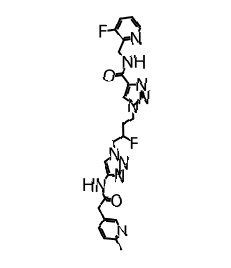 Cc1ccc(CC(=O)Nc2cn(CC(F)CCn3cc(C(=O)NCc4ncccc4F)nn3)nn2)cn1